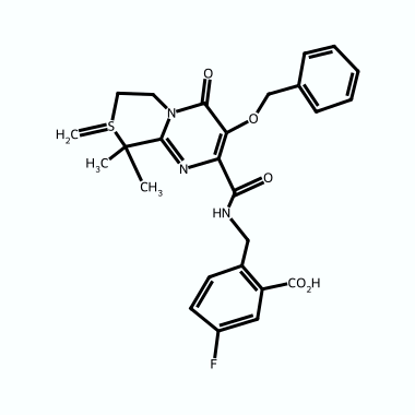 C=S1CCn2c(nc(C(=O)NCc3ccc(F)cc3C(=O)O)c(OCc3ccccc3)c2=O)C1(C)C